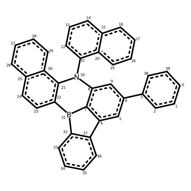 c1ccc(-c2cc3c4c(c2)N(c2cccc5ccccc25)c2c(ccc5ccccc25)B4c2ccccc2-3)cc1